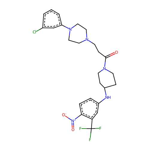 O=C(CCN1CCN(c2cccc(Cl)c2)CC1)N1CCC(Nc2ccc([N+](=O)[O-])c(C(F)(F)F)c2)CC1